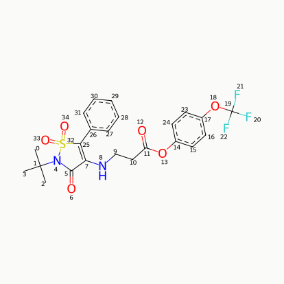 CC(C)(C)N1C(=O)C(NCCC(=O)Oc2ccc(OC(F)(F)F)cc2)=C(c2ccccc2)S1(=O)=O